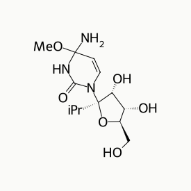 COC1(N)C=CN([C@]2(C(C)C)O[C@H](CO)[C@@H](O)[C@H]2O)C(=O)N1